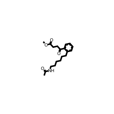 COC(=O)CCC(=O)c1ccccc1CCCCCCNC(C)=O